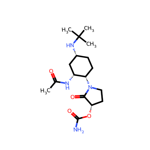 CC(=O)N[C@@H]1C[C@H](NC(C)(C)C)CC[C@@H]1N1CC[C@H](OC(N)=O)C1=O